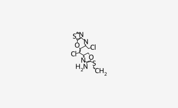 C=CSC1=C(N)N=C(/C(Cl)=C2/Oc3scnc3N=C2CCl)CO1